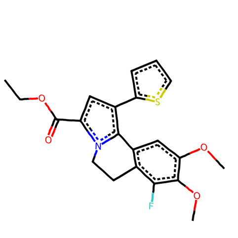 CCOC(=O)c1cc(-c2cccs2)c2n1CCc1c-2cc(OC)c(OC)c1F